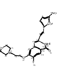 O=Nc1ccc(/C=C/c2nc3cc(OCCN4CCOCC4)c(F)cc3c(=O)[nH]2)o1